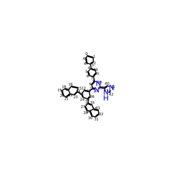 c1ccc(-c2ccc(-c3cc(-c4cc(-c5ccc6ccccc6c5)cc(-c5ccc6ccccc6c5)c4)nc(-c4cnc[nH]4)n3)cc2)cc1